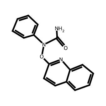 NC(=O)N(Oc1ccc2ccccc2n1)c1ccccc1